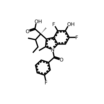 CCC(C)[C@@](C)(C(=O)O)c1c(C)n(C(=O)c2cccc(F)c2)c2cc(F)c(O)c(F)c12